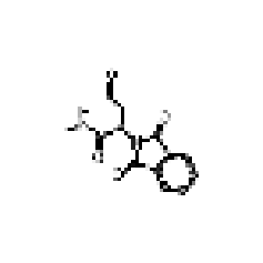 CNC(=O)C(CC=O)N1C(=O)c2ccccc2C1=O